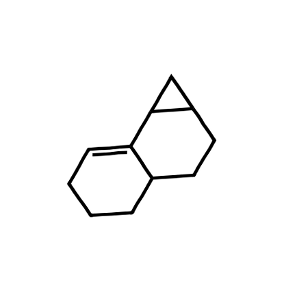 C1=C2C(CCC1)CCC1CC21